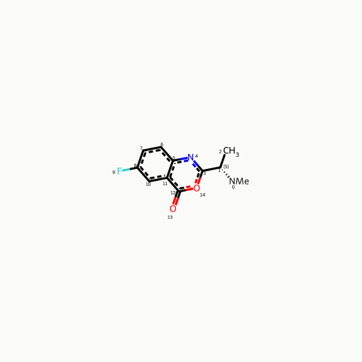 CN[C@@H](C)c1nc2ccc(F)cc2c(=O)o1